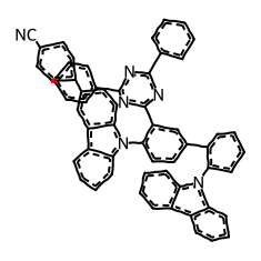 N#Cc1ccc(-c2ccc3c(c2)c2ccccc2n3-c2ccc(-c3ccccc3-n3c4ccccc4c4ccccc43)cc2-c2nc(-c3ccccc3)nc(-c3ccccc3)n2)cc1